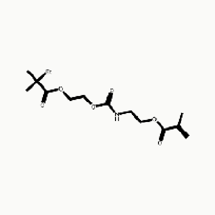 C=C(C)C(=O)OCCNC(=O)OCCOC(=O)C(C)(C)CC